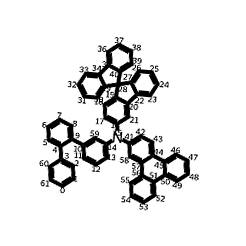 c1ccc(-c2ccccc2-c2cccc(N(c3ccc4c(c3)-c3ccccc3C43c4ccccc4-c4ccccc43)c3ccc4c5ccccc5c5ccccc5c4c3)c2)cc1